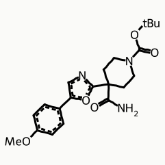 COc1ccc(-c2cnc(C3(C(N)=O)CCN(C(=O)OC(C)(C)C)CC3)o2)cc1